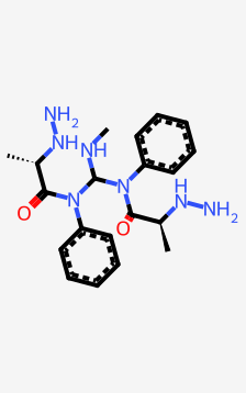 CNC(N(C(=O)[C@H](C)NN)c1ccccc1)N(C(=O)[C@H](C)NN)c1ccccc1